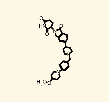 COC1CCN(c2ccc(CN3CCC(c4ccc5c(c4)CN(C4CCC(=O)NC4=O)C5=O)CC3)cc2)CC1